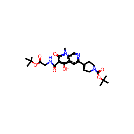 Cn1c(=O)c(C(=O)NCC(=O)OC(C)(C)C)c(O)c2cc(C3=CCN(C(=O)OC(C)(C)C)CC3)ncc21